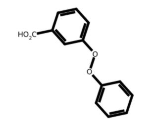 O=C(O)c1cccc(OOc2ccccc2)c1